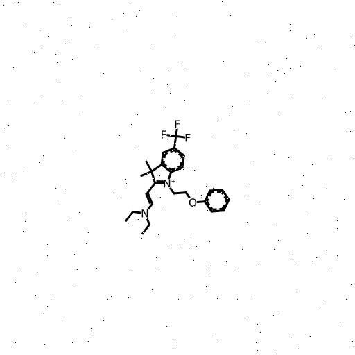 CCN(/C=C/C1=[N+](CCOc2ccccc2)c2ccc(C(F)(F)F)cc2C1(C)C)CC